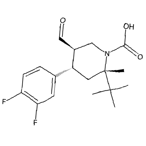 CC(C)(C)[C@]1(C)C[C@H](c2ccc(F)c(F)c2)[C@@H](C=O)CN1C(=O)O